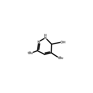 CC(C)(C)C1=CC(C(C)(C)C)=NNC1O